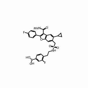 CNC(=O)c1c(-c2ccc(F)cc2)oc2cc(CS(=O)(=O)NCCc3ccc(B(O)O)cc3F)c(C3CC3)cc12